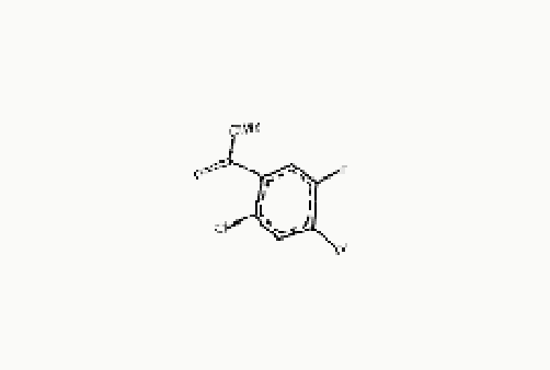 COC(=O)c1cc(F)c(Cl)cc1Cl